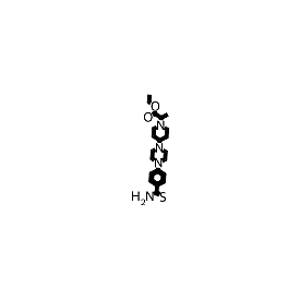 CCOC(=O)C(C)N1CCC(N2CCN(c3ccc(C(N)=S)cc3)CC2)CC1